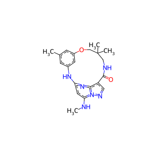 CNc1cc2nc3c(cnn13)C(=O)NCC(C)(C)COc1cc(C)cc(c1)N2